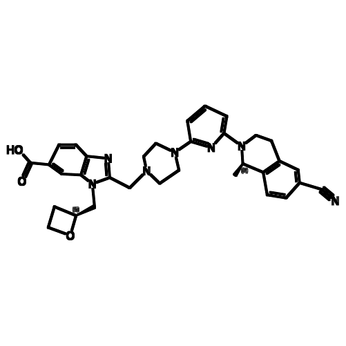 C[C@@H]1c2ccc(C#N)cc2CCN1c1cccc(N2CCN(Cc3nc4ccc(C(=O)O)cc4n3C[C@@H]3CCO3)CC2)n1